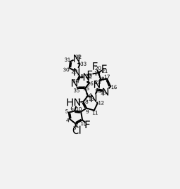 Fc1c(Cl)ccc2[nH]c3c(c12)CCN(c1nccc(C(F)(F)F)n1)C3c1cnc(-n2ccnc2)nc1